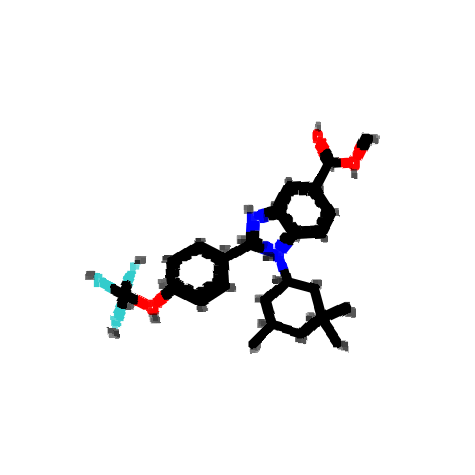 COC(=O)c1ccc2c(c1)nc(-c1ccc(OC(F)(F)F)cc1)n2C1CC(C)CC(C)(C)C1